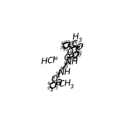 COc1ccccc1OCCNCCCNC(=O)c1cccc2c(=O)c(C)c(-c3ccccc3)oc12.Cl